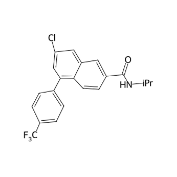 CC(C)NC(=O)c1ccc2c(-c3ccc(C(F)(F)F)cc3)cc(Cl)cc2c1